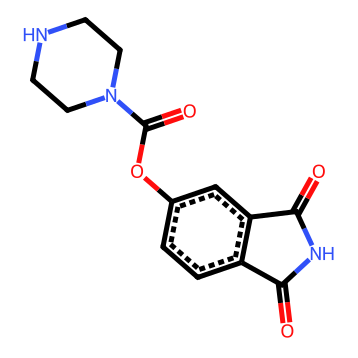 O=C1NC(=O)c2cc(OC(=O)N3CCNCC3)ccc21